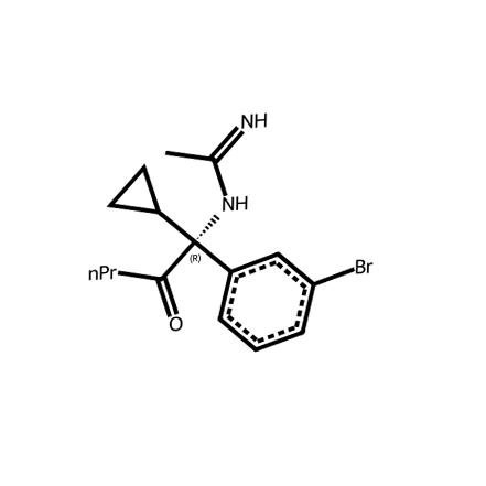 CCCC(=O)[C@](NC(C)=N)(c1cccc(Br)c1)C1CC1